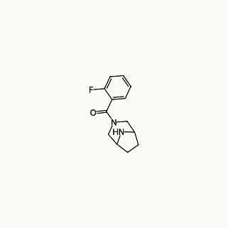 O=C(c1ccccc1F)N1CC2CCC(C1)N2